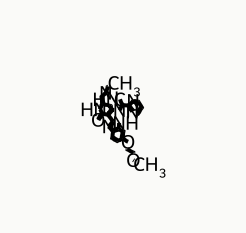 CCn1cc2[nH]c(=O)c(-c3nc4ccc(OCCOC)cc4[nH]3)c(NC(C)c3ncccn3)c2n1